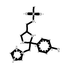 CS(=O)(=O)OCC1COC(Cn2cncn2)(c2ccc(Cl)cc2)O1